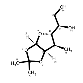 C[C@H]1[C@H]2OC(C)(C)O[C@H]2O[C@@H]1[C@H](O)CO